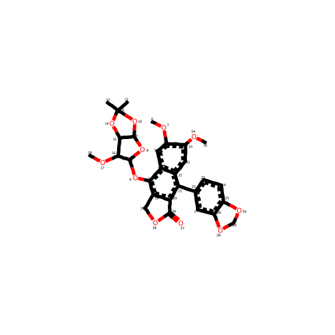 COc1cc2c(OC3OC4OC(C)(C)OC4C3OC)c3c(c(-c4ccc5c(c4)OCO5)c2cc1OC)C(=O)OC3